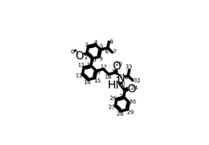 COc1ccc(C(C)C)cc1-c1ccccc1CCC(=O)N(NC(=O)c1ccccc1)C(C)C